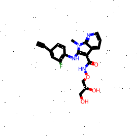 C#Cc1ccc(Nc2c(C(=O)NOCC(O)CO)c3cccnc3n2C)c(F)c1